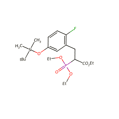 CCOC(=O)C(Cc1cc(O[Si](C)(C)C(C)(C)C)ccc1F)P(=O)(OCC)OCC